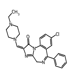 CCN1CCN(C=C2N=C3CN=C(c4ccccc4)c4cc(Cl)ccc4N3C2=O)CC1